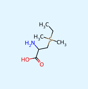 CCS(C)(C)CC(N)C(=O)O